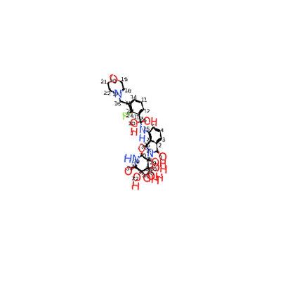 O=C1c2cccc(NC(O)(O)c3cccc(CN4CCOCC4)c3F)c2CN1C1(O)C(=O)NC(=O)C(O)(O)C1(O)O